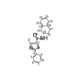 Cc1nc(-c2ccccc2)sc1C(=O)N[C@H]1CCc2ccccc2C1